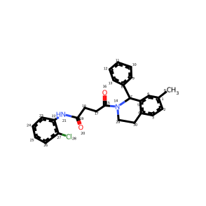 Cc1ccc2c(c1)C(c1ccccc1)N(C(=O)CCC(=O)Nc1ccccc1Cl)CC2